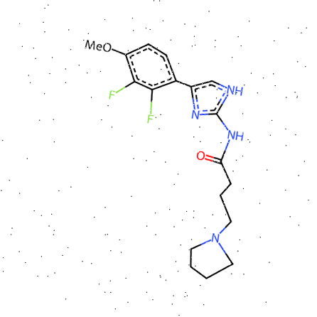 COc1ccc(-c2c[nH]c(NC(=O)CCCN3CCCC3)n2)c(F)c1F